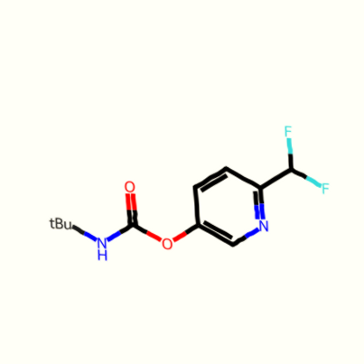 CC(C)(C)NC(=O)Oc1ccc(C(F)F)nc1